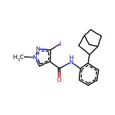 Cn1cc(C(=O)Nc2ccccc2C2CC3CCC2C3)c(I)n1